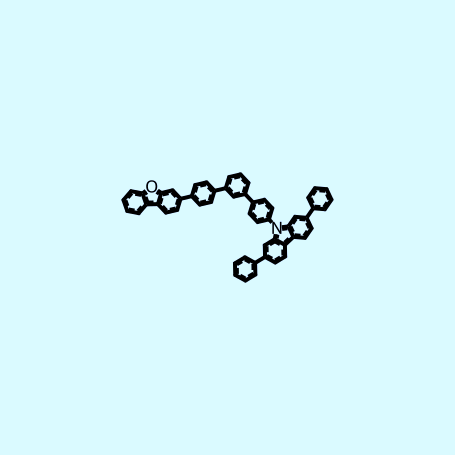 c1ccc(-c2ccc3c4ccc(-c5ccccc5)cc4n(-c4ccc(-c5cccc(-c6ccc(-c7ccc8c(c7)oc7ccccc78)cc6)c5)cc4)c3c2)cc1